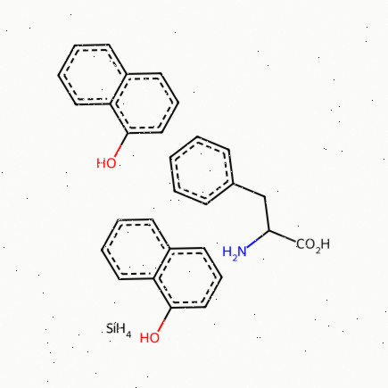 NC(Cc1ccccc1)C(=O)O.Oc1cccc2ccccc12.Oc1cccc2ccccc12.[SiH4]